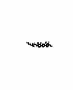 CCCCCC1COC(CCc2ccc(-c3ccc(-c4ccc(OCC)c(F)c4F)cc3)c(F)c2F)OC1